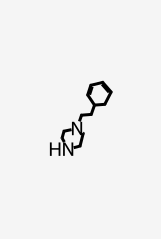 C1=CCC(CCN2CCNCC2)C=C1